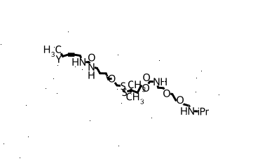 C[CH]([Y])C#CCNC(=O)NCCCCOCSSC(C)(C)CCOC(=O)NCCOCCOCCNC(C)C